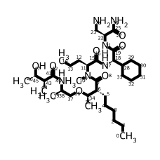 CCCCCC[C@@H](C(=O)N(C)[C@@H](CCC)C(=O)N[C@H](C(=O)N[C@@H](CN)C(N)=O)C1CCCCC1)[C@@H](C)OC[C@@H](C)NC(=O)[C@@H](C)[C@H](C)O